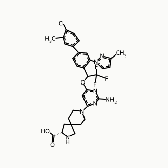 Cc1ccn(-c2cc(-c3ccc(Cl)c(C)c3)ccc2C(Oc2cc(N3CCC4(CC3)CN[C@H](C(=O)O)C4)nc(N)n2)C(F)(F)F)n1